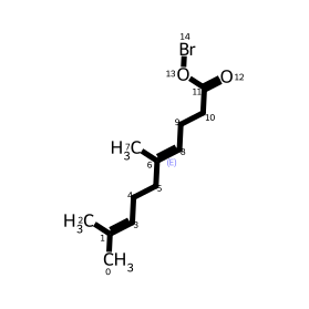 CC(C)=CCC/C(C)=C/CCC(=O)OBr